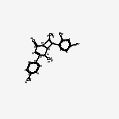 CC1C(c2ccc(F)cc2F)C2N(C)C(c3ccc(C#N)cc3)=CC(=O)N12